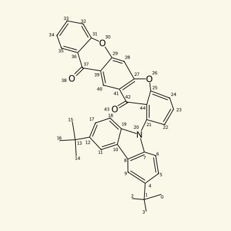 CC(C)(C)c1ccc2c(c1)c1cc(C(C)(C)C)ccc1n2-c1cccc2oc3cc4oc5ccccc5c(=O)c4cc3c(=O)c12